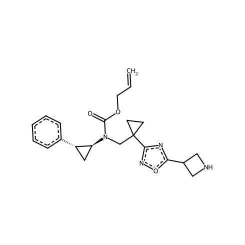 C=CCOC(=O)N(CC1(c2noc(C3CNC3)n2)CC1)[C@H]1C[C@@H]1c1ccccc1